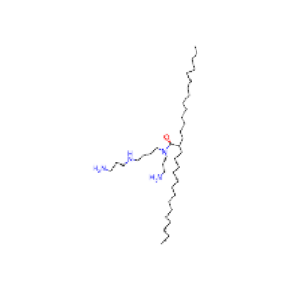 CCCCCCCCCCCCCCC(CCCCCCCCCCCCCC)C(=O)N(CCCN)CCCCNCCCN